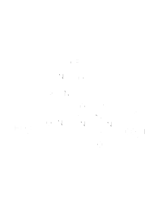 C=CSC1=C(C(=O)O)N2C(=O)C(NC(=O)C(=NOCC(=O)O)c3csc(NC(=O)C(F)(F)F)n3)[C@@H]2SC1